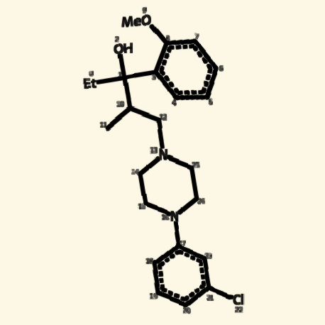 CCC(O)(c1ccccc1OC)C(C)CN1CCN(c2cccc(Cl)c2)CC1